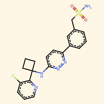 NS(=O)(=O)Cc1cccc(-c2ccc(NC3(c4ncccc4F)CCC3)nn2)c1